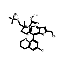 CC(C)(C)OC(=O)N1C[C@H](N2CCCc3cc(Cl)cc(-c4ccnc5cc(CO)sc45)c32)C[C@]1(C)CO[Si](C)(C)C(C)(C)C